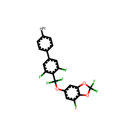 CCCc1ccc(-c2cc(F)c(C(F)(F)Oc3cc(F)c4c(c3)OC(F)(F)O4)c(F)c2)cc1